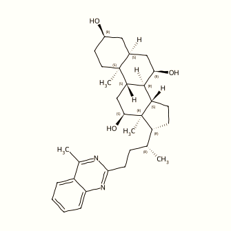 Cc1nc(CC[C@@H](C)[C@H]2CC[C@H]3[C@@H]4[C@H](O)C[C@@H]5C[C@H](O)CC[C@]5(C)[C@H]4C[C@H](O)[C@]23C)nc2ccccc12